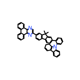 CC1(C)c2cc(-c3cnc4c5ccccc5c5ccccc5c4n3)ccc2-c2ccc(-c3ccccc3-n3c4c(c5ccccc53)C=CCC4)cc21